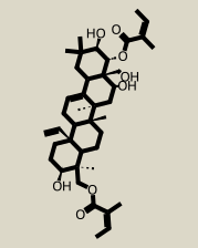 C=C[C@]12CC[C@H](O)[C@](C)(COC(=O)/C(C)=C\C)C1CC[C@]1(C)C2CC=C2C3CC(C)(C)[C@@H](O)[C@H](OC(=O)/C(C)=C\C)[C@]3(CO)[C@H](O)C[C@]21C